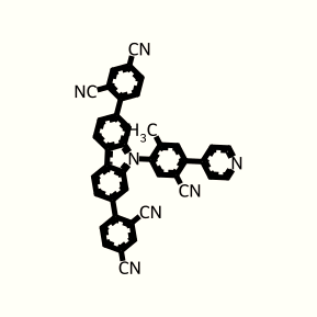 Cc1cc(-c2ccncc2)c(C#N)cc1-n1c2cc(-c3ccc(C#N)cc3C#N)ccc2c2ccc(-c3ccc(C#N)cc3C#N)cc21